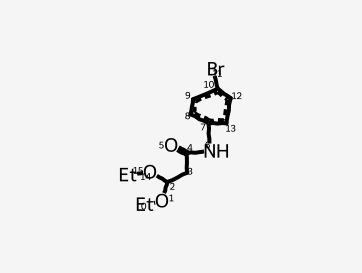 CCOC(CC(=O)Nc1ccc(Br)cc1)OCC